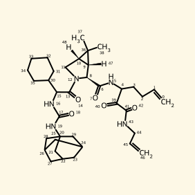 C=CCCC(NC(=O)[C@@H]1[C@@H]2[C@H](CN1C(=O)C(NC(=O)NC13CC4CC(CC(C4)C1)C3)C1CCCCC1)C2(C)C)C(=O)C(=O)NCC=C